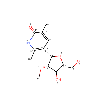 CO[C@H]1C(O)[C@@H](CO)O[C@H]1c1cc(C)c(=O)[nH]c1C